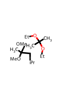 CCOC(C)(C)OCC.COC(C)(CC(C)C)OC